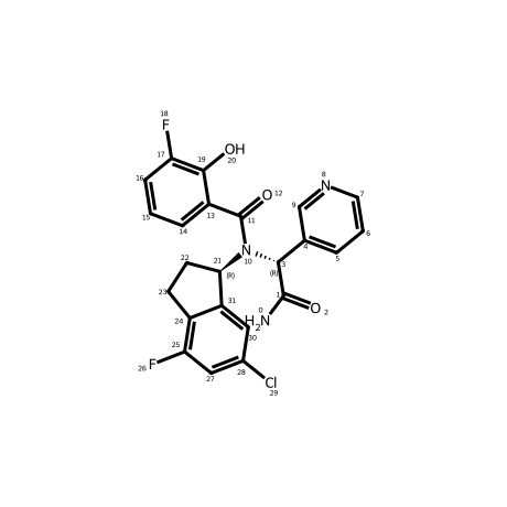 NC(=O)[C@@H](c1cccnc1)N(C(=O)c1cccc(F)c1O)[C@@H]1CCc2c(F)cc(Cl)cc21